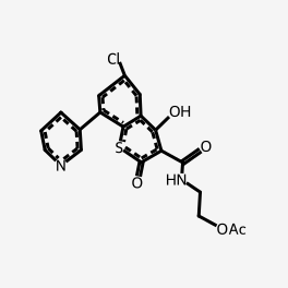 CC(=O)OCCNC(=O)c1c(O)c2cc(Cl)cc(-c3cccnc3)c2sc1=O